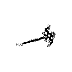 CC#CC#CC#CC#CC#CN1C(=O)c2c(c(-c3ccc(Br)s3)c3nsnc3c2-c2ccc(Br)s2)C1=O